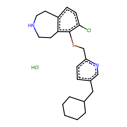 Cl.Clc1ccc2c(c1SCc1ccc(CC3CCCCC3)cn1)CCNCC2